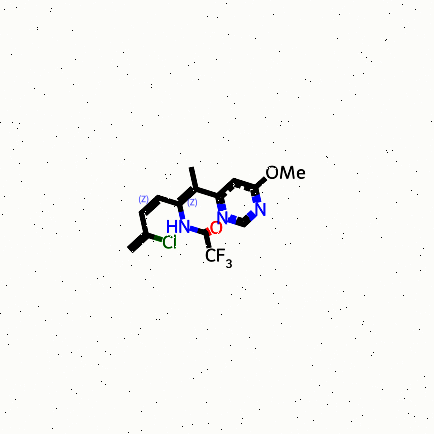 C=C(Cl)/C=C\C(NC(=O)C(F)(F)F)=C(/C)c1cc(OC)ncn1